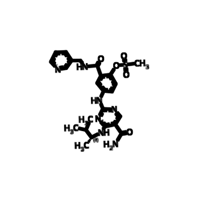 CC(C)[C@@H](C)Nc1nc(Nc2ccc(OS(C)(=O)=O)c(C(=O)NCc3cccnc3)c2)ncc1C(N)=O